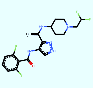 C=C(NC1CCN(CC(F)F)CC1)c1n[nH]cc1NC(=O)c1c(F)cccc1F